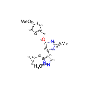 COc1ccc(COc2cc(-c3cnn(C)c3CC3CC3)nc(SC)n2)cc1